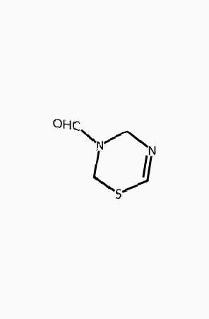 O=CN1CN=CSC1